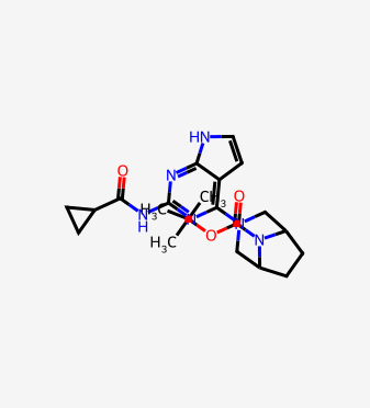 CC(C)(C)OC(=O)N1C2CCC1CN(c1nc(NC(=O)C3CC3)nc3[nH]ccc13)C2